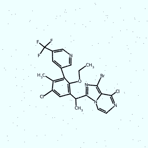 CCOc1c(C(C)c2nc(Br)c3c(Cl)nccn23)cc(Cl)c(C)c1-c1cncc(C(F)(F)F)c1